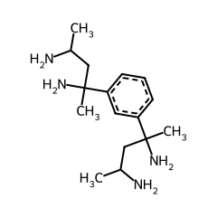 CC(N)CC(C)(N)c1cccc(C(C)(N)CC(C)N)c1